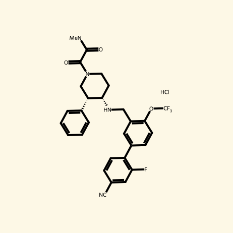 CNC(=O)C(=O)N1CC[C@H](NCc2cc(-c3ccc(C#N)cc3F)ccc2OC(F)(F)F)[C@H](c2ccccc2)C1.Cl